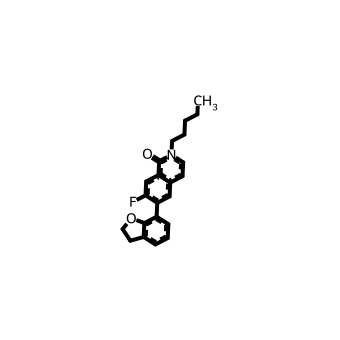 CCCCCn1ccc2cc(-c3cccc4c3OCC4)c(F)cc2c1=O